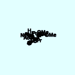 COCCCOc1cc(C[C@H](C[C@H](C(=O)OCc2ccccc2)[C@H](C[C@H](C(=O)NCC(C)(C)C#N)C(C)C)OC(C)=O)C(C)C)ccc1OC